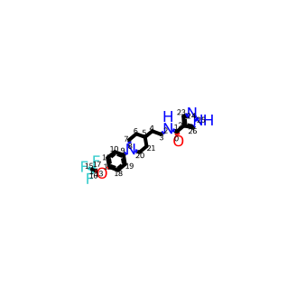 O=C(NCCC1CCN(c2ccc(OC(F)(F)F)cc2)CC1)c1cn[nH]c1